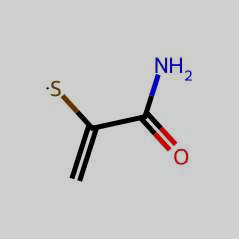 C=C([S])C(N)=O